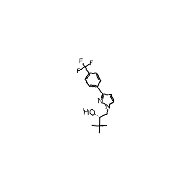 CC(C)(C)[C@H](O)Cn1ccc(-c2ccc(C(F)(F)F)cc2)n1